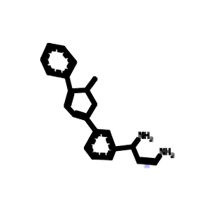 CC1CC(c2cccc(C(N)/C=C\N)c2)=CC=C1c1ccccc1